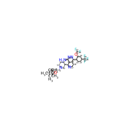 CC(C)(C)[Si](C)(C)OCCN1CCCC(c2nccc3c(-c4ccc(C(F)(F)F)cc4OC(F)F)nnc(N)c23)C1